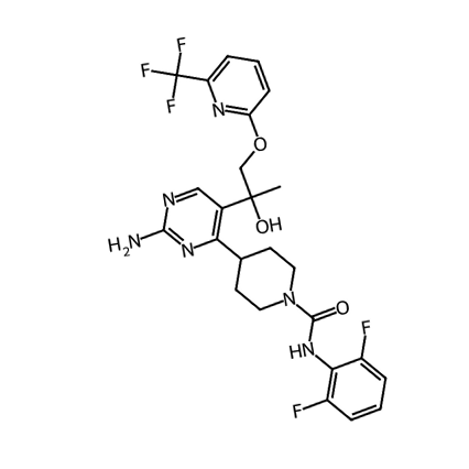 CC(O)(COc1cccc(C(F)(F)F)n1)c1cnc(N)nc1C1CCN(C(=O)Nc2c(F)cccc2F)CC1